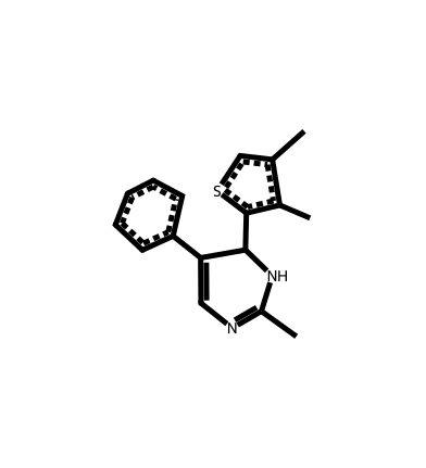 CC1=NC=C(c2ccccc2)C(c2scc(C)c2C)N1